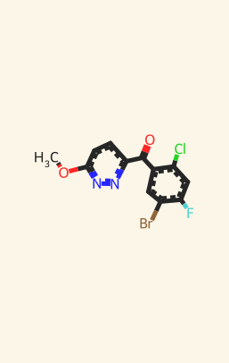 COc1ccc(C(=O)c2cc(Br)c(F)cc2Cl)nn1